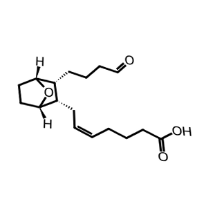 O=CCCC[C@@H]1[C@H](C/C=C\CCCC(=O)O)[C@@H]2CC[C@H]1O2